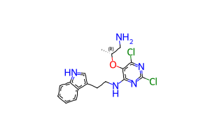 C[C@H](CN)Oc1c(Cl)nc(Cl)nc1NCCc1c[nH]c2ccccc12